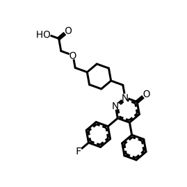 O=C(O)COCC1CCC(Cn2nc(-c3ccc(F)cc3)c(-c3ccccc3)cc2=O)CC1